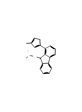 C[SiH](C)[Zr+2][CH]1c2ccccc2-c2cccc(C3=CC(C(C)(C)C)=CC3)c21.[F-].[F-]